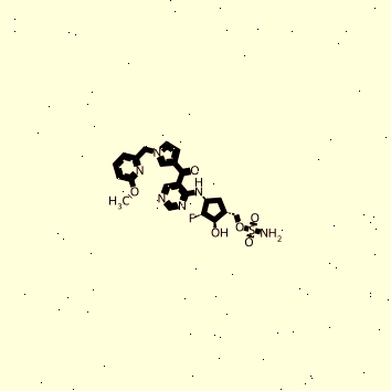 COc1cccc(Cn2ccc(C(=O)c3cncnc3N[C@@H]3C[C@H](COS(N)(=O)=O)[C@@H](O)[C@@H]3F)c2)n1